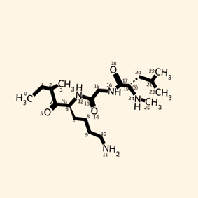 CCC(C)C(=O)[C@H](CCCCN)NC(=O)CNC(=O)[C@H](CC(C)C)NC